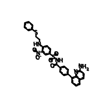 Nc1ccc2cccc(-c3ccc(C(=O)NS(=O)(=O)c4ccc(NCCSc5ccccc5)c([N+](=O)[O-])c4)cc3)c2n1